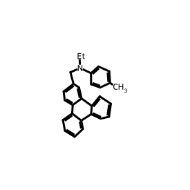 CCN(Cc1ccc2c3ccccc3c3ccccc3c2c1)c1ccc(C)cc1